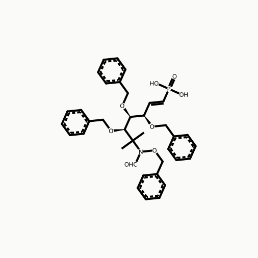 CC(C)([C@@H](OCc1ccccc1)[C@@H](OCc1ccccc1)[C@@H](C=CP(=O)(O)O)OCc1ccccc1)N(C=O)OCc1ccccc1